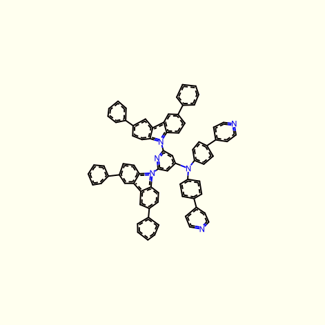 c1ccc(-c2ccc3c(c2)c2cc(-c4ccccc4)ccc2n3-c2cc(N(c3ccc(-c4ccncc4)cc3)c3ccc(-c4ccncc4)cc3)cc(-n3c4ccc(-c5ccccc5)cc4c4cc(-c5ccccc5)ccc43)n2)cc1